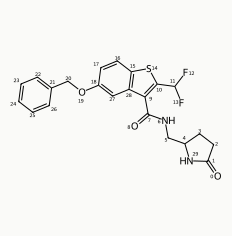 O=C1CCC(CNC(=O)c2c(C(F)F)sc3ccc(OCc4ccccc4)cc23)N1